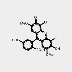 COc1cc2c(-c3cc(C=O)ccc3C(=O)O)c3cc(OC)c(=O)c(Cl)c-3oc2c(Cl)c1O